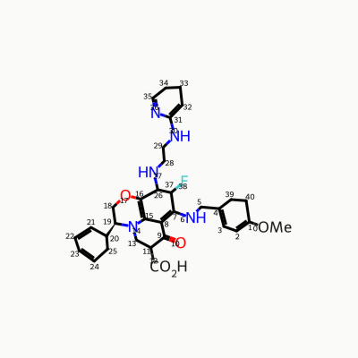 COC1=CC=C(CNC2=C3C(=O)C(C(=O)O)CN4C3=C(OC[C@@H]4C3C=CC=CC3)C(NCCNC3=CCCC=N3)C2F)CC1